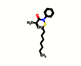 C=C(C)C(=O)N(SCCCCCCCC)c1ccccc1